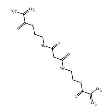 C=C(C)C(=O)OCCNC(=O)CC(=O)NCCOC(=O)C(=C)C